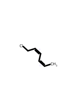 C/C=C\C=C/CCl